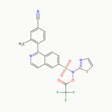 Cc1cc(C#N)ccc1-c1nccc2cc(S(=O)(=O)N(OC(=O)C(F)(F)F)c3nccs3)ccc12